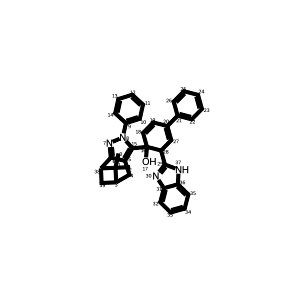 CC1(C)C2Cc3c(nn(-c4ccccc4)c3C3(O)C=CC(c4ccccc4)=CC3c3nc4ccccc4[nH]3)C1C2